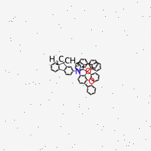 CC1(C)c2ccccc2-c2ccc(N(c3ccc4c(oc5ccccc54)c3C3(c4ccccc4)c4ccccc4-c4ccccc43)c3cccc4c3oc3ccccc34)cc21